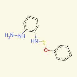 NNc1ccccc1NSOc1ccccc1